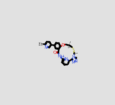 CCc1ccc(-c2ccc3c(c2)C(=O)Nc2cccc(n2)-c2nncn2[C@@H](C)SC[C@@H](C)CO3)cn1